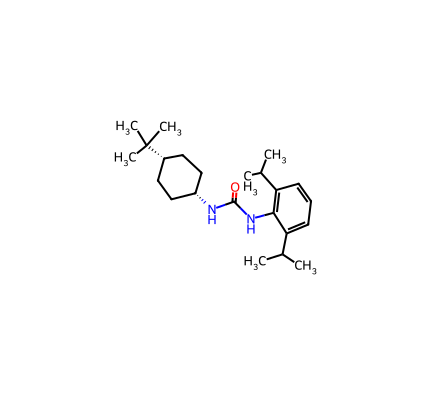 CC(C)c1cccc(C(C)C)c1NC(=O)N[C@H]1CC[C@@H](C(C)(C)C)CC1